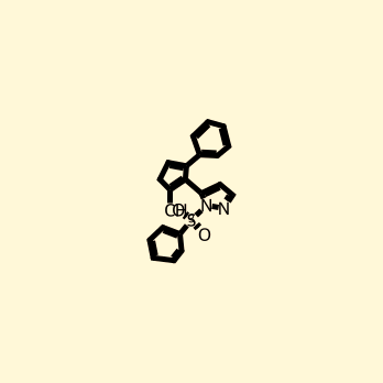 CC1=C(c2ccnn2S(=O)(=O)c2ccccc2)C(c2ccccc2)=CC1